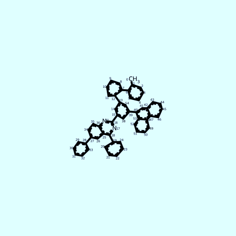 Cc1ccccc1-c1ccccc1-c1cc(-c2nc(-c3ccccc3)c3cc(-c4ccccc4)ccc3n2)cc(-c2cc3ccccc3c3ccccc23)c1